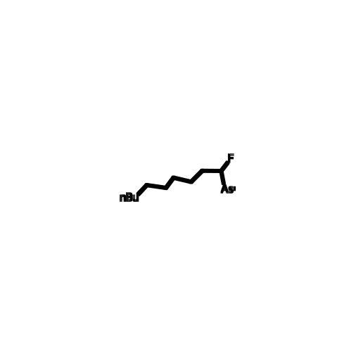 CCCCCCCCCC(F)[As]